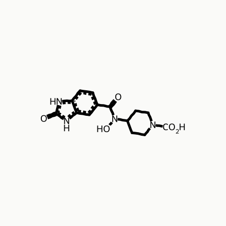 O=C(O)N1CCC(N(O)C(=O)c2ccc3[nH]c(=O)[nH]c3c2)CC1